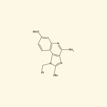 CCCCc1nc2c(N)nc3cc(OC)ccc3c2n1CC(C)C